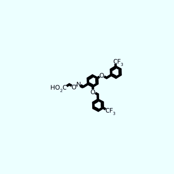 O=C(O)CO/N=C/c1ccc(OCc2cccc(C(F)(F)F)c2)cc1OCc1cccc(C(F)(F)F)c1